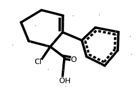 O=C(O)C1(Cl)CCCC=C1c1ccccc1